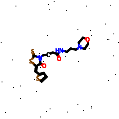 O=C(CCCN1C(=O)/C(=C\c2cccs2)SC1=S)NCCCN1CCOCC1